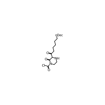 CCCCCCCCCCCCCCCC(=O)C1NCCN(C(=O)Cl)C1=O